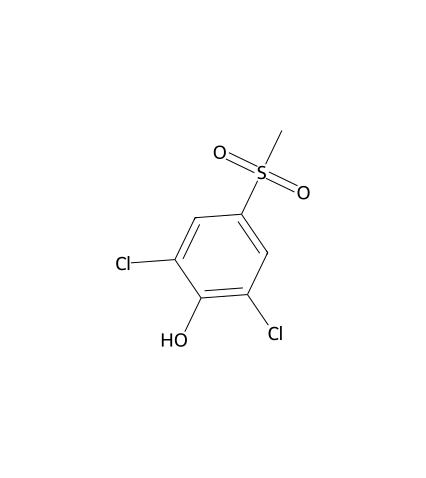 CS(=O)(=O)c1cc(Cl)c(O)c(Cl)c1